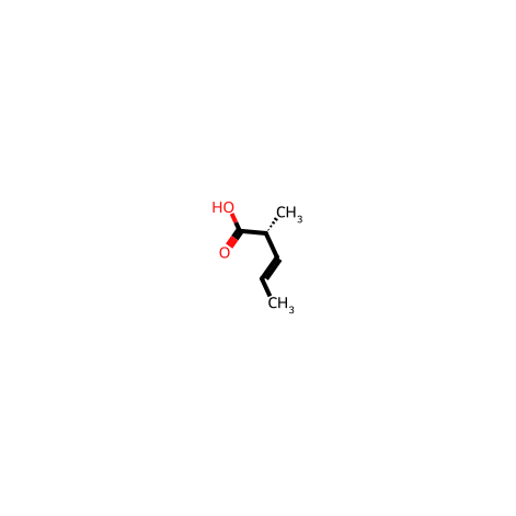 C/C=C/[C@@H](C)C(=O)O